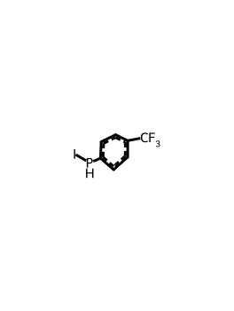 FC(F)(F)c1ccc(PI)cc1